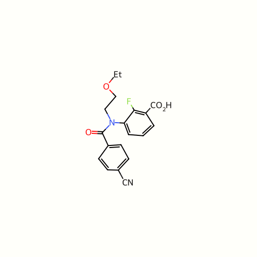 CCOCCN(C(=O)c1ccc(C#N)cc1)c1cccc(C(=O)O)c1F